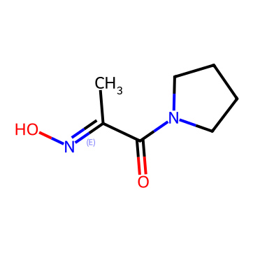 C/C(=N\O)C(=O)N1CCCC1